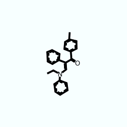 CCN(/C=C(/C(=O)c1ccc(C)cc1)c1ccccc1)c1ccccc1